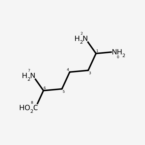 NC(N)CCCC(N)C(=O)O